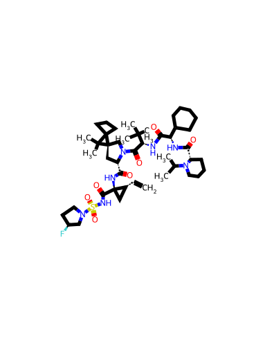 C=C[C@@H]1C[C@]1(NC(=O)[C@@H]1C[C@@]2(CN1C(=O)[C@@H](NC(=O)[C@@H](NC(=O)[C@@H]1CCCCN1C(C)C)C1CCCCC1)C(C)(C)C)C(C)(C)C21CCC1)C(=O)NS(=O)(=O)N1CC[C@H](F)C1